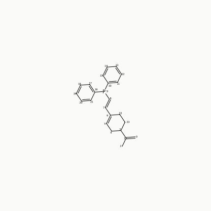 C=C(C)C1CC=C(/C=C/P(c2ccccc2)c2ccccc2)CC1